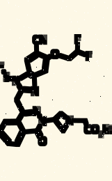 CCOC(=O)CN1CC(n2nc(Cc3nc4cc(OCC(F)F)c(C#N)cc4n3SF)c3ccccc3c2=O)C1